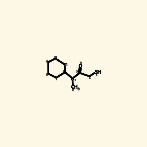 CN(C(=O)CS)C1CCCCC1